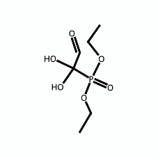 CCOP(=O)(OCC)C(O)(O)C=O